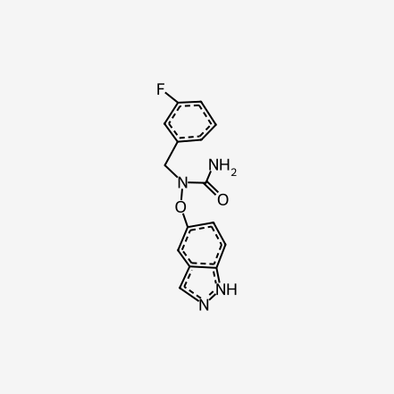 NC(=O)N(Cc1cccc(F)c1)Oc1ccc2[nH]ncc2c1